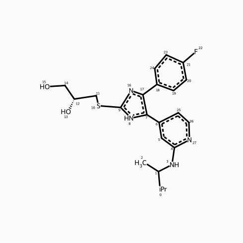 CC(C)C(C)Nc1cc(-c2[nH]c(SC[C@H](O)CO)nc2-c2ccc(F)cc2)ccn1